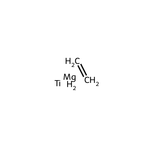 C=C.[MgH2].[Ti]